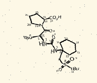 CC(C)(C)[C@H](NC(=O)NC1(CS(=O)(=O)C(C)(C)C)CCCCC1)C(=O)N1CCC[C@H]1C(=O)O